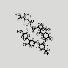 CP(=O)(O)CCC(N)C(=O)O.CS(=O)(=O)c1cc(Cl)ccc1C(=O)c1cnoc1C1CC1.C[C@H](OC(=O)c1cc(Oc2ccc(C(F)(F)F)cc2Cl)ccc1Cl)C(=O)O